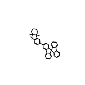 CC12CCCCC1(C)c1cc(-c3ccc4c(c3)-c3ccccc3C43c4ccccc4-c4ccccc43)ccc1S2